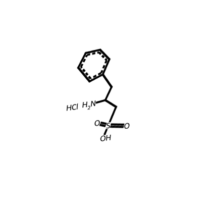 Cl.NC(Cc1ccccc1)CS(=O)(=O)O